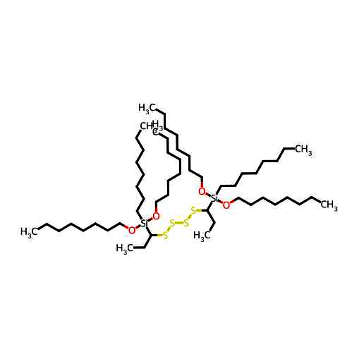 CCCCCCCCO[Si](CCCCCCCC)(OCCCCCCCC)C(CC)SSSSC(CC)[Si](CCCCCCCC)(OCCCCCCCC)OCCCCCCCC